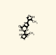 Cc1[nH]ncc1-c1cc2nc(C34NCCC3[C@@H]4C)[nH]c(=O)c2s1